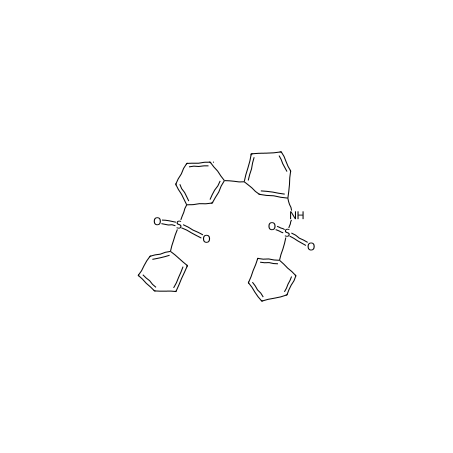 O=S(=O)(Nc1cccc(-c2[c]ccc(S(=O)(=O)c3ccccc3)c2)c1)c1ccccc1